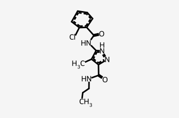 CCCNC(=O)c1n[nH]c(NC(=O)c2ccccc2Cl)c1C